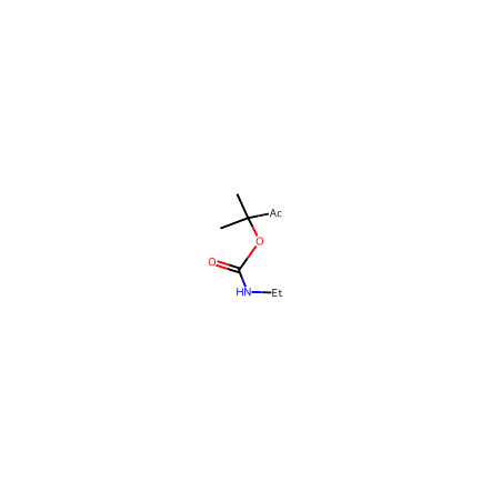 CCNC(=O)OC(C)(C)C(C)=O